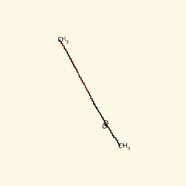 CCCCCCCCC=CCCCCCCCC(=O)OCCCCCCCCCCCCCCCCCCCCCCCCCCCCCCCCCCCCCCCCCCCCCCCCCCCCCCCCCCCCCCCC